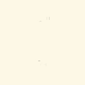 CC(=O)CCCCCCCCCCCC(O)=S